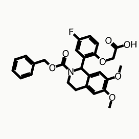 COc1cc2c(cc1OC)C(c1cc(F)ccc1OCC(=O)O)N(C(=O)OCc1ccccc1)CC2